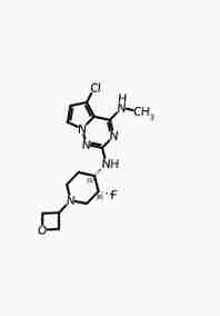 CNc1nc(N[C@H]2CCN(C3COC3)C[C@H]2F)nn2ccc(Cl)c12